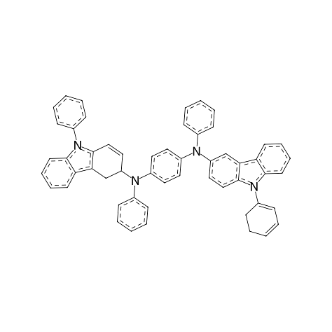 C1=CCCC(n2c3ccccc3c3cc(N(c4ccccc4)c4ccc(N(c5ccccc5)C5C=Cc6c(c7ccccc7n6-c6ccccc6)C5)cc4)ccc32)=C1